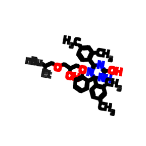 CCCCC(CC)COCC(O)COc1ccccc1C1(c2ccc(C)cc2C)N=C(c2ccc(C)cc2C)N=C(O)N1